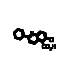 O=C(O)c1c(Cl)ccc2nc(C3=CCCCC3)ccc12